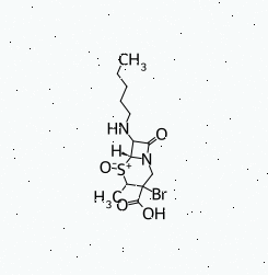 CCCCCNC1C(=O)N2CC(Br)(C(=O)O)C(C)[S+]([O-])[C@H]12